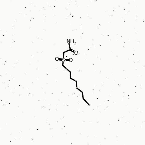 CCCCCCCCS(=O)(=O)CC(N)=O